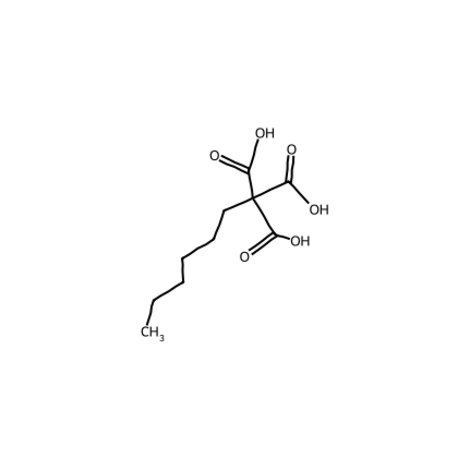 CCCCCCC(C(=O)O)(C(=O)O)C(=O)O